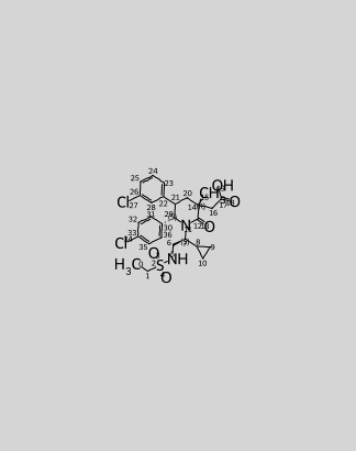 CCS(=O)(=O)NC[C@H](C1CC1)N1C(=O)[C@@](C)(CC(=O)O)CC(c2cccc(Cl)c2)[C@H]1c1ccc(Cl)cc1